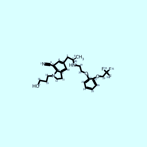 C[C@H](Cc1cc(C#N)c2c(c1)CCN2CCCO)NCCOc1ccccc1OCC(F)(F)F